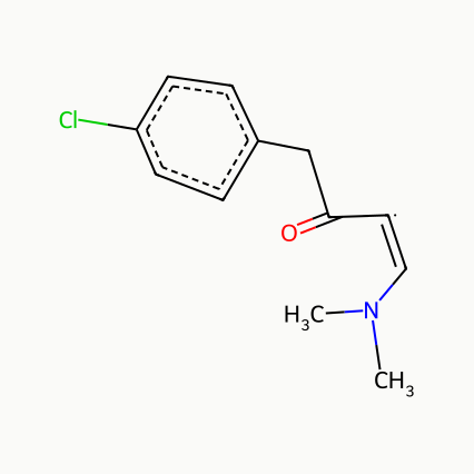 CN(C)/C=[C]\C(=O)Cc1ccc(Cl)cc1